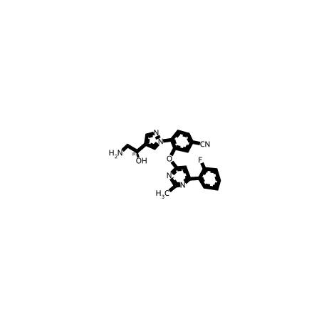 Cc1nc(Oc2cc(C#N)ccc2-n2cc([C@@H](O)CN)cn2)cc(-c2ccccc2F)n1